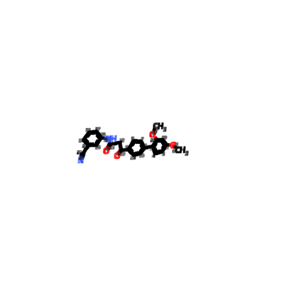 COc1ccc(-c2ccc(C(=O)CC(=O)Nc3cccc(C#N)c3)cc2)c(OC)c1